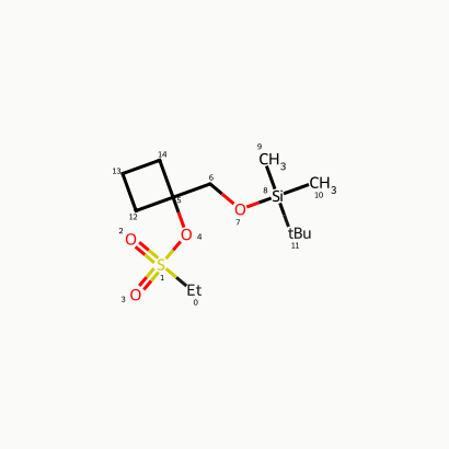 CCS(=O)(=O)OC1(CO[Si](C)(C)C(C)(C)C)CCC1